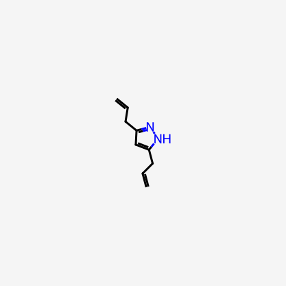 C=CCc1cc(CC=C)[nH]n1